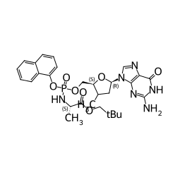 CC1C[C@H](n2cnc3c(=O)[nH]c(N)nc32)O[C@@H]1COP(=O)(N[C@@H](C)C(=O)OCC(C)(C)C)Oc1cccc2ccccc12